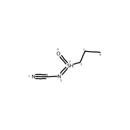 CCC/[SH](=O)=N/C#N